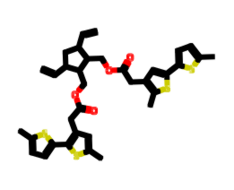 C=CC1CC(C=C)C(COC(=O)Cc2cc(C)sc2-c2ccc(C)s2)C1COC(=O)Cc1cc(-c2ccc(C)s2)sc1C